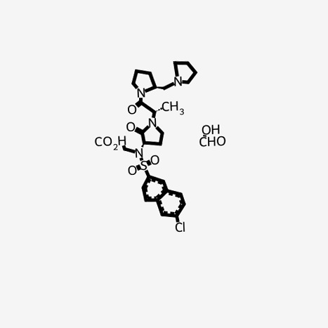 C[C@@H](C(=O)N1CCC[C@H]1CN1CCCC1)N1CC[C@H](N(CC(=O)O)S(=O)(=O)c2ccc3cc(Cl)ccc3c2)C1=O.O=CO